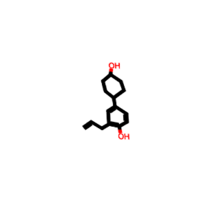 C=CCc1cc(C2CCC(O)CC2)ccc1O